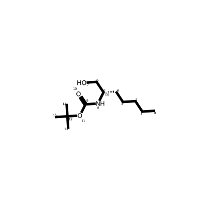 CCCCC[C@@H](CO)NC(=O)OC(C)(C)C